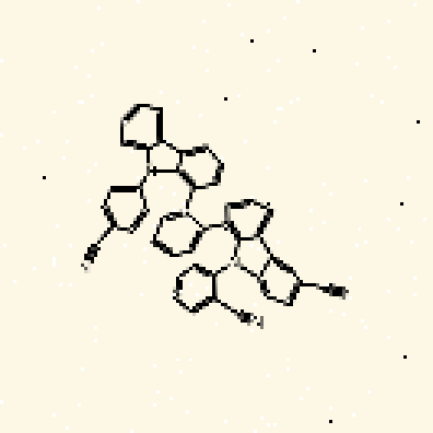 N#Cc1ccc(-n2c3ccccc3c3cccc(-c4ccccc4-c4cccc5c6cc(C#N)ccc6n(-c6ccccc6C#N)c45)c32)cc1